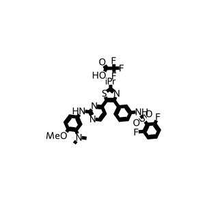 COc1ccc(Nc2nccc(-c3sc(C(C)C)nc3-c3cccc(NS(=O)(=O)c4c(F)cccc4F)c3)n2)cc1N(C)C.O=C(O)C(F)(F)F